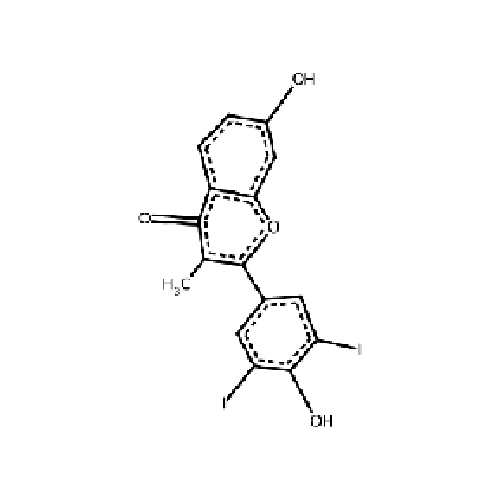 Cc1c(-c2cc(I)c(O)c(I)c2)oc2cc(O)ccc2c1=O